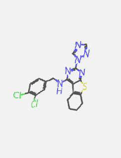 Clc1ccc(CNc2nc(-n3cncn3)nc3sc4c(c23)CCCC4)cc1Cl